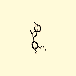 CN1CCC[C@](CCc2ccc(Cl)c(C(F)(F)F)c2)(N(C)C)C1